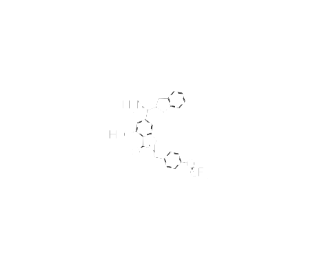 Cc1cc(C(N)C2Cc3ccccc3C2)cc2c1C(=O)N(Cc1ccc(OC(F)(F)F)cc1)C2